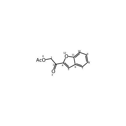 CC(=O)OCC(=O)c1cc2ccccc2o1